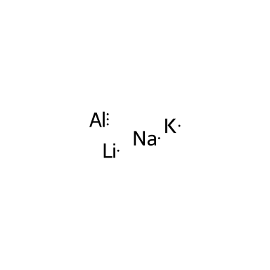 [Al].[K].[Li].[Na]